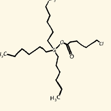 CCCCCC[Si](CCCCCC)(CCCCCC)OC(=O)CCCCl